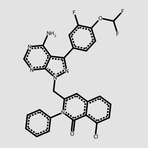 Nc1ncnc2c1c(-c1ccc(OC(F)F)c(F)c1)nn2Cc1cc2cccc(Cl)c2c(=O)n1-c1ccccc1